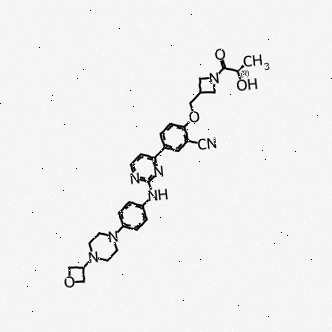 C[C@@H](O)C(=O)N1CC(COc2ccc(-c3ccnc(Nc4ccc(N5CCN(C6COC6)CC5)cc4)n3)cc2C#N)C1